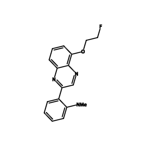 CNc1ccccc1-c1cnc2c(OCCF)cccc2n1